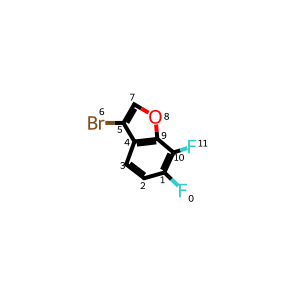 Fc1ccc2c(Br)coc2c1F